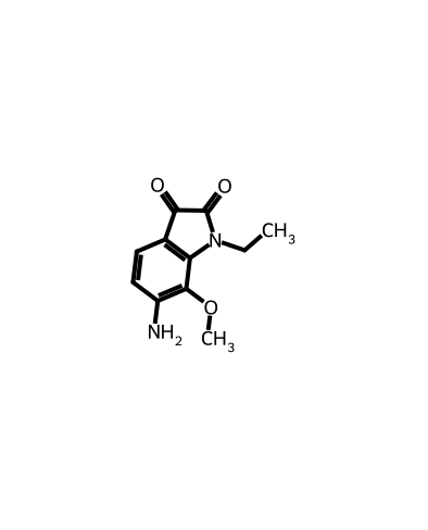 CCN1C(=O)C(=O)c2ccc(N)c(OC)c21